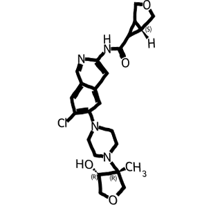 C[C@@]1(N2CCN(c3cc4cc(NC(=O)C5C6COC[C@@H]65)ncc4cc3Cl)CC2)COC[C@@H]1O